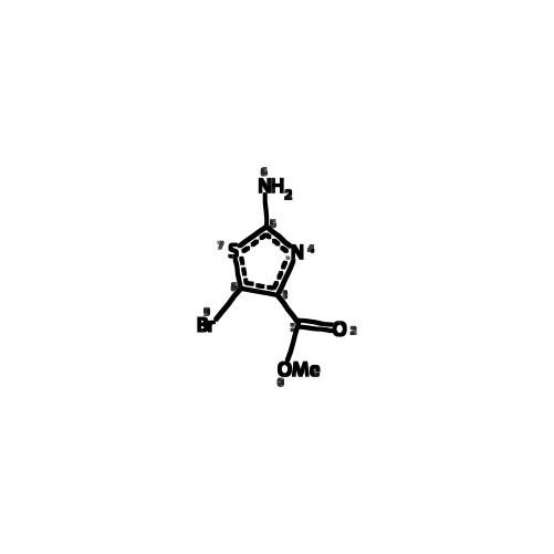 COC(=O)c1nc(N)sc1Br